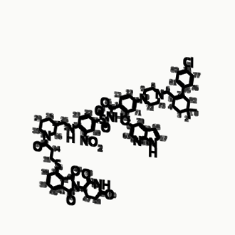 CC1(C)CCC(CN2CCN(c3ccc(C(=O)NS(=O)(=O)c4ccc(NCC5CCCN(C(=O)CCSc6cccc7c6C(=O)N(C6CCC(=O)NC6=O)C7=O)C5)c([N+](=O)[O-])c4)c(Oc4cnc5[nH]ccc5c4)c3)CC2)=C(c2ccc(Cl)cc2)C1